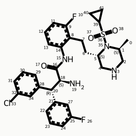 C[C@H]1CNC[C@H](CCc2c(F)cccc2NC(=O)[C@@H](N)[C@H](c2cccc(F)c2)c2cccc(Cl)c2)N1S(=O)(=O)C1CC1